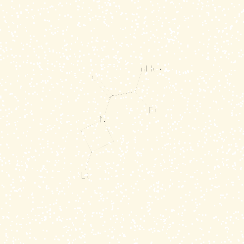 CCCCCCC(CC)C(=O)N1CC(CC)C1